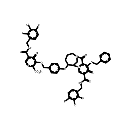 CCOC(=O)c1occ(C(=O)NCc2ccc(F)c(Cl)c2F)c(=O)c1OCc1ccc(OC2CCCN3CC2n2cc(C(=O)NCc4ccc(F)c(Cl)c4F)c(=O)c(OCc4ccccc4)c2C3=O)cc1